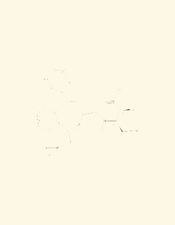 CCC[C@H](C(N)=O)[C@@H](CC(C)C)C(=O)NC1CN(c2ccccc2)c2ccccc2N(CC2CC2)C1=O